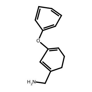 NCC1=CC(Oc2ccccc2)=CCC1